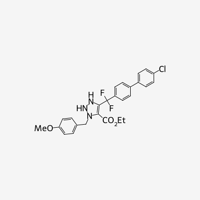 CCOC(=O)C1=C(C(F)(F)c2ccc(-c3ccc(Cl)cc3)cc2)NNN1Cc1ccc(OC)cc1